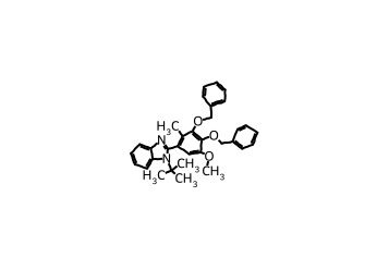 COc1cc(-c2nc3ccccc3n2C(C)(C)C)c(C)c(OCc2ccccc2)c1OCc1ccccc1